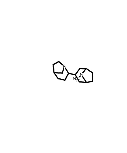 CN1C2CCC1CC(C1CCC3CCN1C3)C2